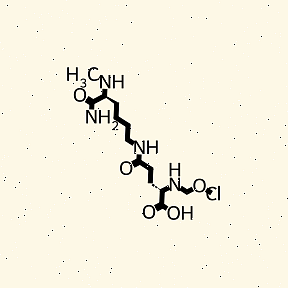 CN[C@@H](CCCCNC(=O)CC[C@H](NCOCl)C(=O)O)C(N)=O